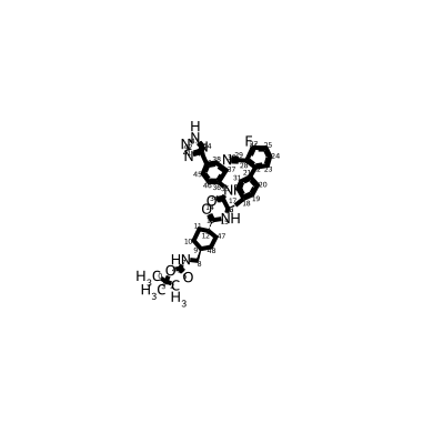 CC(C)(C)OC(=O)NC[C@H]1CC[C@H](C(=O)N[C@@H](Cc2ccc(-c3cccc(F)c3C#N)cc2)C(=O)Nc2ccc(-c3nn[nH]n3)cc2)CC1